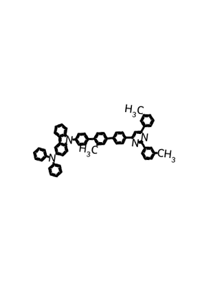 Cc1cccc(-c2cc(-c3ccc(-c4ccc(-c5ccc(-n6c7ccccc7c7cc(N(c8ccccc8)c8ccccc8)ccc76)cc5)c(C)c4)cc3)nc(-c3cccc(C)c3)n2)c1